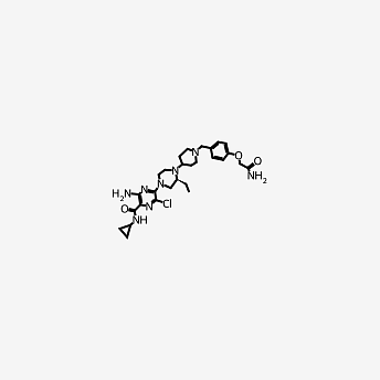 CC[C@H]1CN(c2nc(N)c(C(=O)NC3CC3)nc2Cl)CCN1C1CCN(Cc2ccc(OCC(N)=O)cc2)CC1